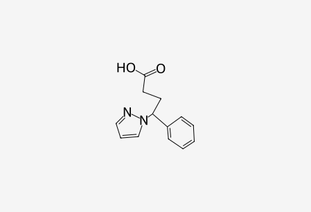 O=C(O)CCC(c1ccccc1)n1cccn1